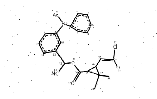 CC(=O)N(c1ccccc1)c1cccc(C(C#N)OC(=O)C2C(C=C(Cl)Cl)C2(C)C)c1